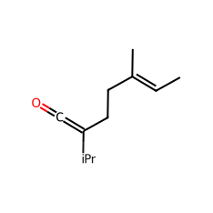 CC=C(C)CCC(=C=O)C(C)C